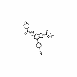 CC(C)(C)OC(=O)N1Cc2cc(CNC(=O)C3CCOCC3)cc(-c3ccc(C#N)cc3)c2C1